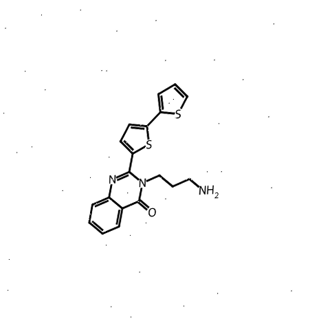 NCCCn1c(-c2ccc(-c3cccs3)s2)nc2ccccc2c1=O